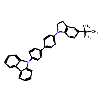 CC(C)(C)c1ccc2c(c1)CCN2c1ccc(-c2ccc(-n3c4ccccc4c4ccccc43)cc2)cc1